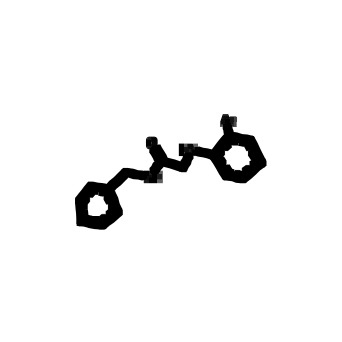 CC(=O)c1ccccc1NCC(=O)NCc1ccccc1